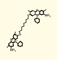 CC1=CC2=Nc3cc(C)c(N)cc3N(c3ccccc3)C2C=C1SCCCCCCCCSc1cc2c(cc1C)nc1cc(C)c(N)cc1[n+]2-c1ccccc1